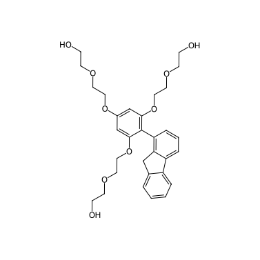 OCCOCCOc1cc(OCCOCCO)c(-c2cccc3c2Cc2ccccc2-3)c(OCCOCCO)c1